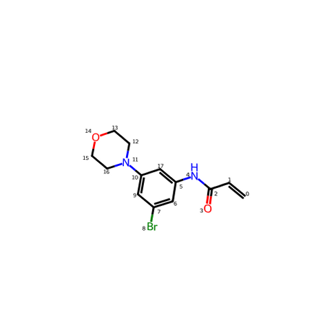 C=CC(=O)Nc1cc(Br)cc(N2CCOCC2)c1